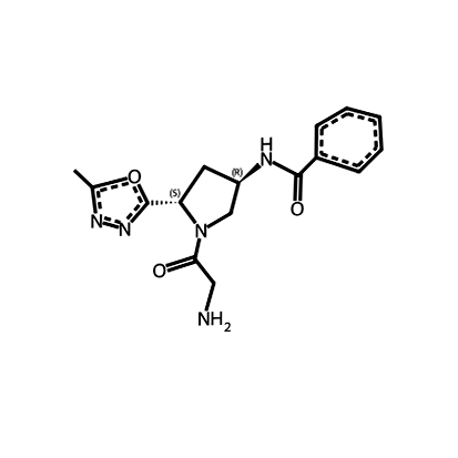 Cc1nnc([C@@H]2C[C@@H](NC(=O)c3ccccc3)CN2C(=O)CN)o1